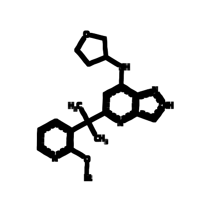 CCOc1ncccc1C(C)(C)c1cc(NC2CCOC2)c2n[nH]cc2n1